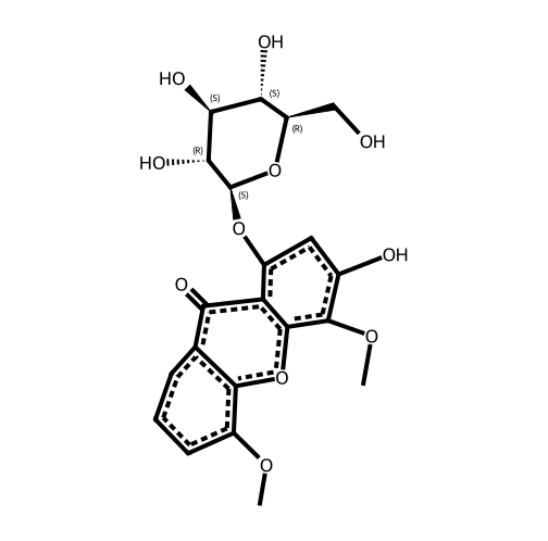 COc1cccc2c(=O)c3c(O[C@@H]4O[C@H](CO)[C@@H](O)[C@H](O)[C@H]4O)cc(O)c(OC)c3oc12